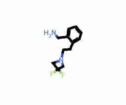 NCc1ccccc1CCN1CC(F)(F)C1